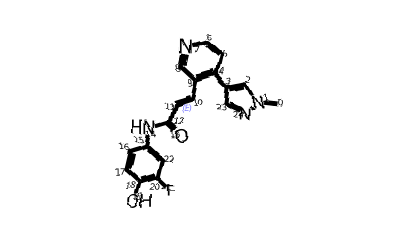 Cn1cc(-c2ccncc2/C=C/C(=O)Nc2ccc(O)c(F)c2)cn1